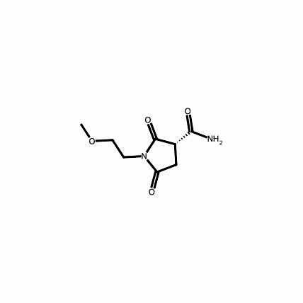 COCCN1C(=O)C[C@@H](C(N)=O)C1=O